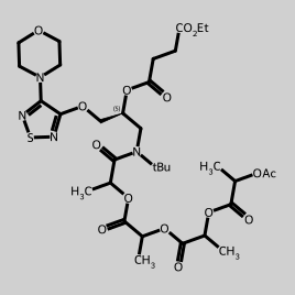 CCOC(=O)CCC(=O)O[C@H](COc1nsnc1N1CCOCC1)CN(C(=O)C(C)OC(=O)C(C)OC(=O)C(C)OC(=O)C(C)OC(C)=O)C(C)(C)C